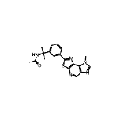 CC(=O)NC(C)(C)c1cccc(-c2nc3c(ncc4ncn(C)c43)s2)c1